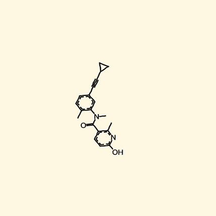 Cc1ccc(C#CC2CC2)cc1N(C)C(=O)c1ccc(O)nc1C